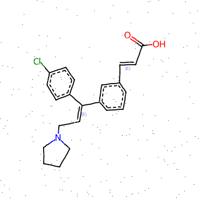 O=C(O)/C=C/c1cccc(/C(=C/CN2CCCC2)c2ccc(Cl)cc2)c1